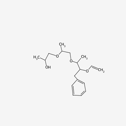 C=COC(Cc1ccccc1)C(C)OCC(C)OCC(C)O